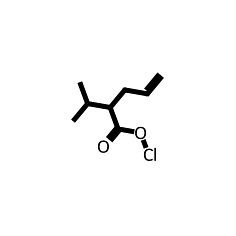 C=CCC(C(=O)OCl)C(C)C